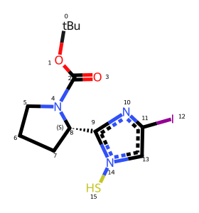 CC(C)(C)OC(=O)N1CCC[C@H]1c1nc(I)cn1S